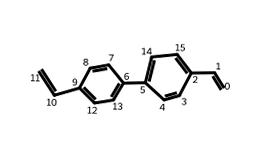 C=Cc1ccc(-c2ccc(C=C)cc2)cc1